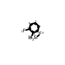 F[SiH3].Fc1ccccc1F